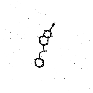 N#Cc1nc2ccc(NCc3ccccc3)cc2s1